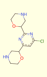 Clc1cc(C2CNCCO2)nc(C2CNCCO2)n1